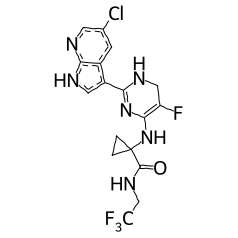 O=C(NCC(F)(F)F)C1(NC2=C(F)CNC(c3c[nH]c4ncc(Cl)cc34)=N2)CC1